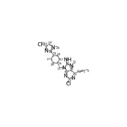 CC#Cc1nc(Cl)nc2c1n(C)c(=N)n2Cc1ccc(-c2nc(Cl)cn2C)cc1